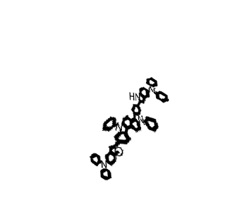 c1ccc(N(c2ccccc2)c2ccc3[nH]c(-c4ccc5c6c7ccc8c(c7ccc6n(-c6ccccc6)c5c4)c4ccc(-c5cc6cc(N(c7ccccc7)c7ccccc7)ccc6o5)cc4n8-c4ccccc4)cc3c2)cc1